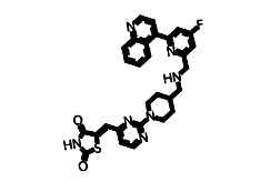 O=C1NC(=O)/C(=C/c2ccnc(N3CCC(CNCc4cc(F)cc(-c5ccnc6ccccc56)n4)CC3)n2)S1